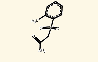 Cc1ccccc1S(=O)(=O)CC(N)=O